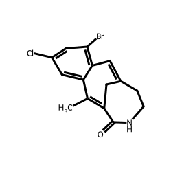 CC1=C2CC(=Cc3c(Br)cc(Cl)cc31)CCNC2=O